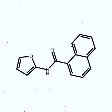 O=C(Nc1ccco1)c1cccc2ccccc12